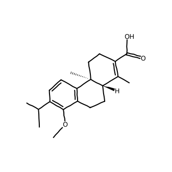 COc1c(C(C)C)ccc2c1CC[C@H]1C(C)=C(C(=O)O)CC[C@]21C